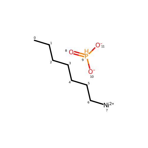 CCCCCC[CH2][Ni+2].O=[PH]([O-])[O-]